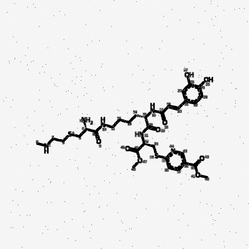 CNCCSC[C@H](N)C(=O)NCCCC[C@H](NC(=O)/C=C/c1ccc(O)c(O)c1)C(=O)N[C@@H](CSc1ccc(C(=O)OC)cn1)C(=O)OC